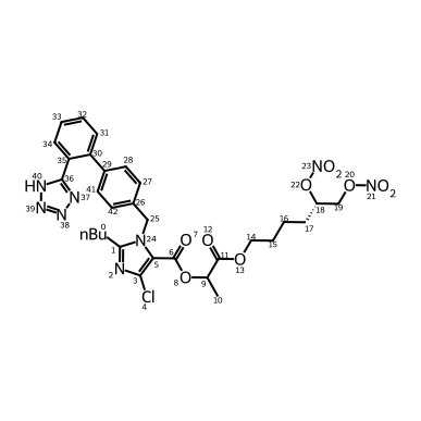 CCCCc1nc(Cl)c(C(=O)OC(C)C(=O)OCCCC[C@@H](CO[N+](=O)[O-])O[N+](=O)[O-])n1Cc1ccc(-c2ccccc2-c2nnn[nH]2)cc1